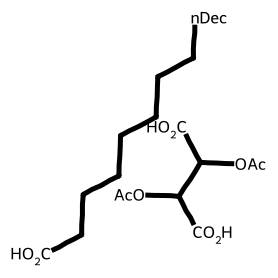 CC(=O)OC(C(=O)O)C(OC(C)=O)C(=O)O.CCCCCCCCCCCCCCCCCC(=O)O